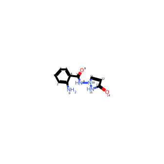 Nc1ccccc1C(=O)Nn1ccc(=O)[nH]1